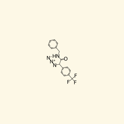 [N-]=[N+]=NC(C(=O)NCc1ccccc1)c1ccc(C(F)(F)F)cc1